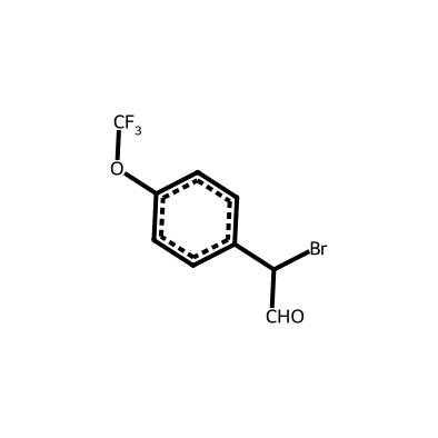 O=CC(Br)c1ccc(OC(F)(F)F)cc1